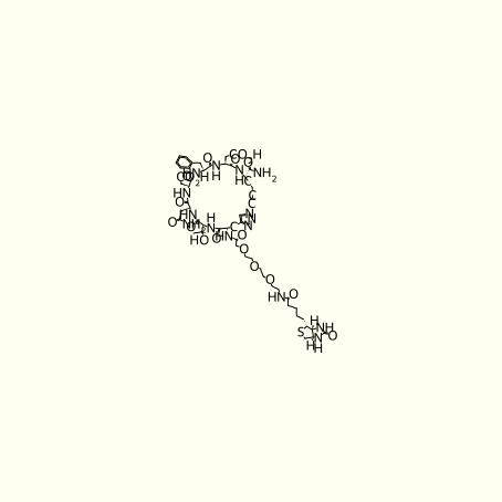 CC(O)[C@@H]1NC(=O)[C@@H](NC(=O)COCCOCCOCCNC(=O)CCCC[C@H]2SC[C@H]3NC(=O)N[C@H]32)Cc2cn(nn2)CCCC[C@@H](C(N)=O)NC(=O)[C@H](CC(=O)O)NC(=O)[C@H](Cc2ccccc2)NC(=O)[C@H](CC(=O)O)NC(=O)[C@H](CC(N)=O)NC1=O